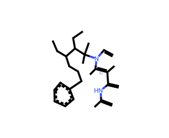 C=CN(/C(C)=C(\C)C(=C)NC(=C)C)C(C)(C)C(CC)C(CC)CCCc1ccccc1